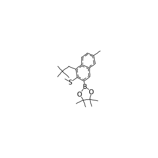 CSc1c(B2OC(C)(C)C(C)(C)O2)cc2cc(C)ccc2c1CC(C)(C)C